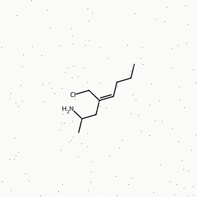 CCCC=C(CCl)CC(C)N